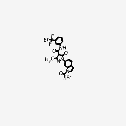 CCCC(=O)n1ccc2ccc(N3N=C(C)C(C(=O)Nc4cccc(C(F)(F)CC)c4)C3=O)cc21